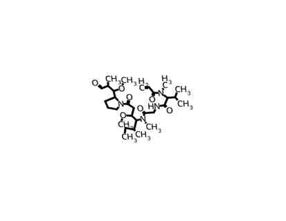 C=CC(=O)N(C)C(C(=O)NCC(=O)N(C)C(C(C)CC)C(CC(=O)N1CCCC1C(OC)C(C)C=O)OC)C(C)C